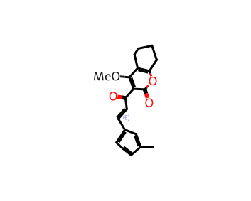 COc1c2c(oc(=O)c1C(=O)/C=C/c1cccc(C)c1)CCCC2